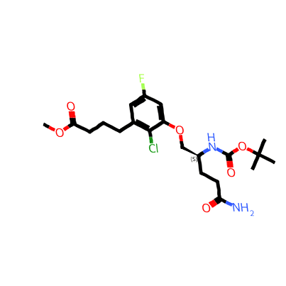 COC(=O)CCCc1cc(F)cc(OC[C@H](CCC(N)=O)NC(=O)OC(C)(C)C)c1Cl